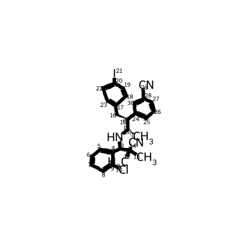 C[C@H](NC(c1ccccc1Cl)C(C)(C)C#N)[C@@H](Cc1ccc(I)cc1)c1cccc(C#N)c1